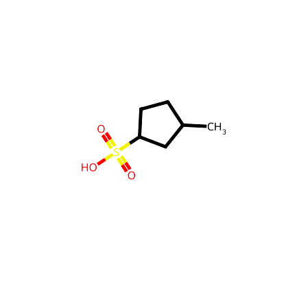 CC1CCC(S(=O)(=O)O)C1